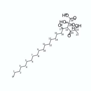 CCCCCCCCCCCCCCCCCC(=O)C(C(=O)C(C)O)C(O)(O)C(=O)O